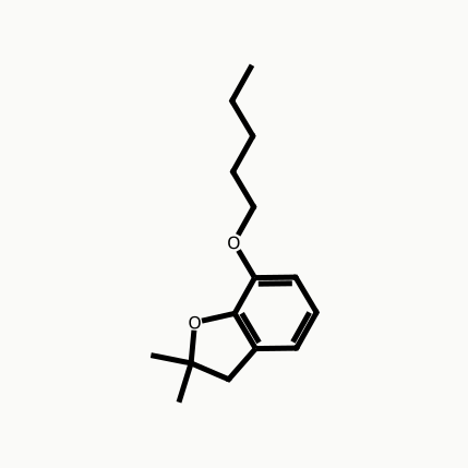 CCCCCOc1cccc2c1OC(C)(C)C2